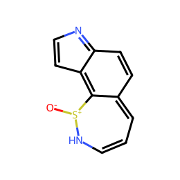 [O-][S+]1NC=CC=c2ccc3c(c21)C=CN=3